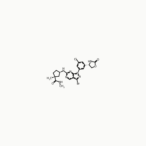 CNC(=O)[C@]1(C)CC[C@@H](Nc2ncc3c(Br)nn(-c4cc(Cl)cc([C@H]5COC(=O)N5)c4)c3n2)C1